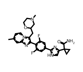 Cc1ccn2c(CC3CN(C)CCO3)c(-c3c(F)cc(-c4nc(C5(C(N)=O)CC5)c[nH]4)cc3F)nc2c1